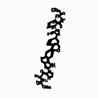 COC(=O)N[C@@H](C)C(=O)N1[C@@H](C)CC[C@H]1c1ncc(-c2ccc3c(c2)COc2cc4c(ccc5nc([C@@H]6CC[C@H](C)N6C(=O)[C@@H](NC(=O)OC)C(C)C)[nH]c54)cc2-3)[nH]1